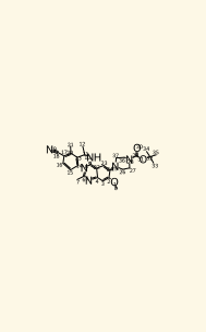 COc1cc2nc(C)nc(NC(C)c3cccc(C#N)c3C)c2cc1N1CCN(C(=O)OC(C)(C)C)CC1